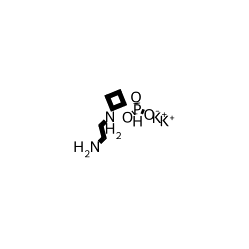 C1CCC1.NCCN.O=[PH]([O-])[O-].[K+].[K+]